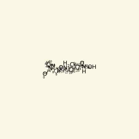 COCCCn1c(C2CCCN(C(=O)CC(N)Cc3ccc(-c4ccc(C(=O)NCCO)cc4Cl)cc3)C2)nc2ccccc21